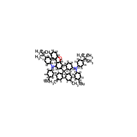 Cc1ccc(C2(c3ccc(C)cc3)c3cc(N(c4ccc(C(C)(C)C)cc4)c4ccc([Si](C)(C)C)cc4)ccc3-c3c2cc(N(c2ccc(C(C)(C)C)cc2)c2ccc([Si](C)(C)C)cc2)c2c3oc3ccccc32)cc1